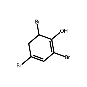 OC1=C(Br)C=C(Br)CC1Br